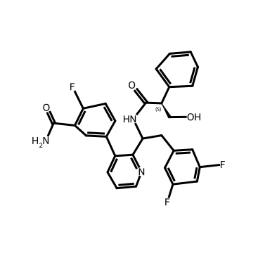 NC(=O)c1cc(-c2cccnc2C(Cc2cc(F)cc(F)c2)NC(=O)[C@H](CO)c2ccccc2)ccc1F